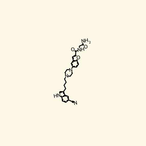 N#Cc1ccc2[nH]cc(CCCCN3CCN(c4ccc5oc(C(=O)NCC(N)=O)cc5c4)CC3)c2c1